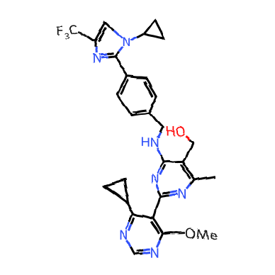 COc1ncnc(C2CC2)c1-c1nc(C)c(CO)c(NCc2ccc(-c3nc(C(F)(F)F)cn3C3CC3)cc2)n1